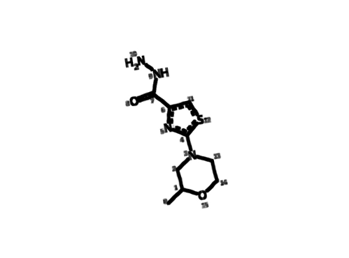 CC1CN(c2nc(C(=O)NN)cs2)CCO1